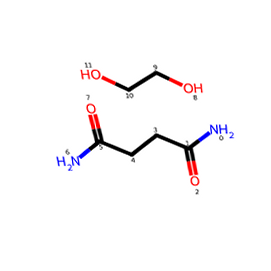 NC(=O)CCC(N)=O.OCCO